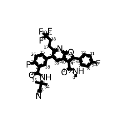 CNC(=O)c1c(-c2ccc(F)cc2)oc2nc(CCC(F)(F)F)c(-c3ccc(F)c(C(=O)NC(C)(C)C#N)c3)cc12